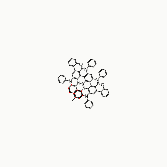 C/C=C\C=C/CN(c1ccccc1)c1cc2c3c4c1N(c1ccccc1)B1c5c-4c(cc4c5-c5c6c(cc(N(c7ccccc7)c7ccccc7)c5N1c1ccccc1)-c1ccccc1OB6N4c1ccccc1)N(c1ccccc1)B3Oc1ccccc1-2